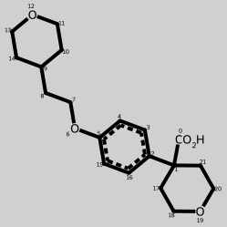 O=C(O)C1(c2ccc(OCCC3CCOCC3)cc2)CCOCC1